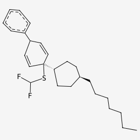 CCCCCCC[C@H]1CC[C@H](C2(SC(F)F)C=CC(c3ccccc3)C=C2)CC1